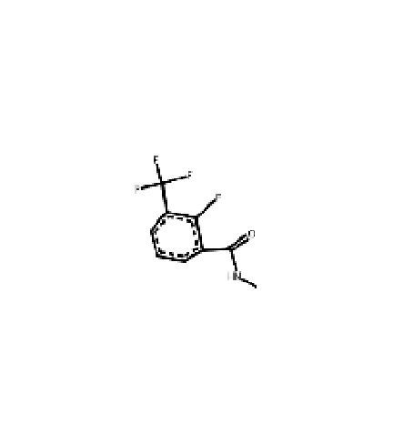 CNC(=O)c1cccc(C(F)(F)F)c1F